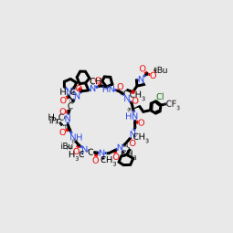 CC[C@H](C)[C@@H]1NC(=O)[C@H](CC(C)C)N(C)C(=O)C[C@@H](C(=O)N2CCCCC2)N(C)C(=O)C(C2CCCCC2)N(C)C(=O)C2(CCCC2)NC(=O)[C@H](CCC2CN(C(=O)OC(C)(C)C)C2)N(C)C(=O)[C@@H](CCc2ccc(C(F)(F)F)c(Cl)c2)NC(=O)CN(C)C(=O)[C@H](CC2CCCCC2)N(C)C(=O)CN(C)C(=O)CN(C)C1=O